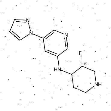 F[C@@H]1CNCCC1Nc1cncc(-n2cccn2)c1